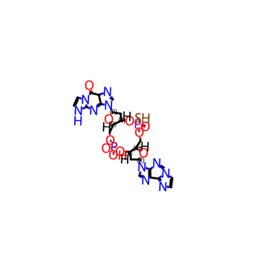 O=C1C2N=CN([C@H]3C[C@@H]4OP(=O)(S)OC[C@H]5O[C@@H](n6cnc7c6ncn6ccnc76)C[C@@H]5OP(=O)(O)OC[C@H]4O3)C2=NC2NC=CN12